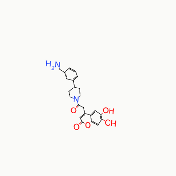 NCc1cccc(C2CCN(C(=O)Cc3cc(=O)oc4cc(O)c(O)cc34)CC2)c1